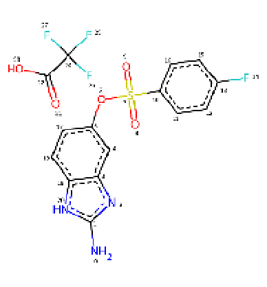 Nc1nc2cc(OS(=O)(=O)c3ccc(F)cc3)ccc2[nH]1.O=C(O)C(F)(F)F